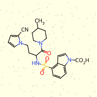 CC1CCN(C(=O)C(CCn2cccc2C#N)NS(=O)(=O)c2cccc3c2ccn3C(=O)O)CC1